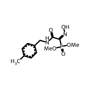 COP(=O)(OC)/C(=N/O)C(=O)NCc1ccc(C)cc1